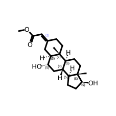 COC(=O)/C=C1/CC[C@@]2(C)[C@H](C1)[C@@H](O)C[C@@H]1[C@@H]2CC[C@]2(C)[C@@H](O)CC[C@@H]12